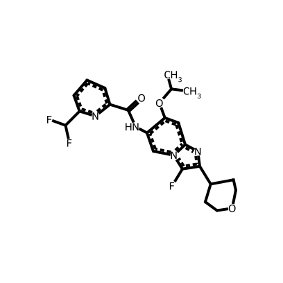 CC(C)Oc1cc2nc(C3CCOCC3)c(F)n2cc1NC(=O)c1cccc(C(F)F)n1